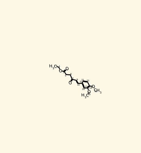 CCOC(=O)CCC(=O)C=Cc1ccc(OC)c(OC)c1